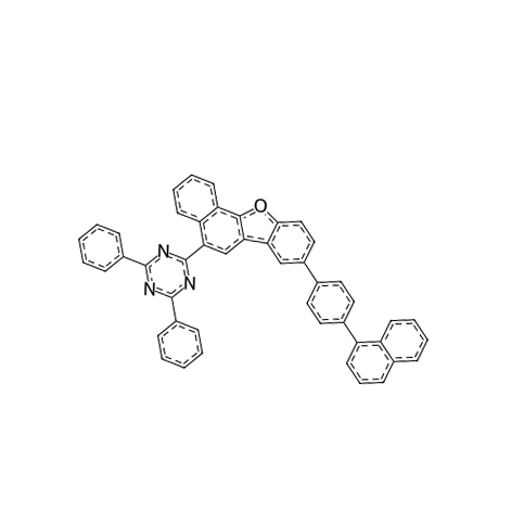 c1ccc(-c2nc(-c3ccccc3)nc(-c3cc4c5cc(-c6ccc(-c7cccc8ccccc78)cc6)ccc5oc4c4ccccc34)n2)cc1